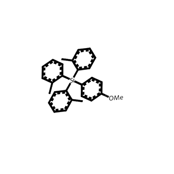 COc1ccc([Si](c2ccccc2C)(c2ccccc2C)c2ccccc2C)cc1